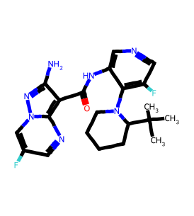 CC(C)(C)C1CCCCN1c1c(F)cncc1NC(=O)c1c(N)nn2cc(F)cnc12